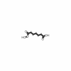 O=C(O)CCCCCC(=O)OO